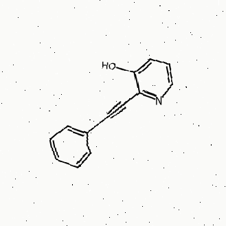 Oc1cccnc1C#Cc1ccccc1